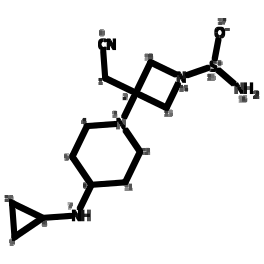 N#CCC1(N2CCC(NC3CC3)CC2)CN([S+](N)[O-])C1